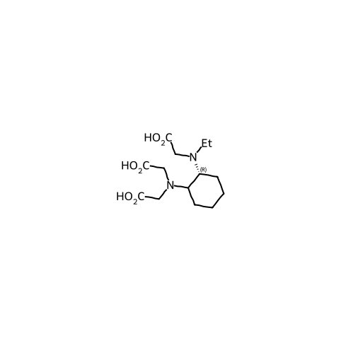 CCN(CC(=O)O)[C@@H]1CCCCC1N(CC(=O)O)CC(=O)O